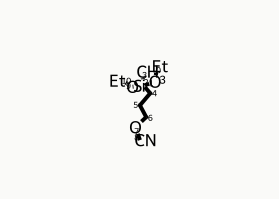 CCO[Si](C)(CCCOC#N)OCC